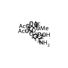 COC(=O)C1OC(Oc2ccc3c(c2)OC(O)C=C3CN)C(OC(C)=O)C(OC(C)=O)C1OC(C)=O